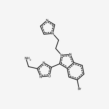 NCc1noc(-c2c3cc(Br)ccc3nn2CCn2ccnc2)n1